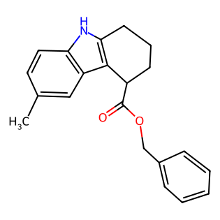 Cc1ccc2[nH]c3c(c2c1)C(C(=O)OCc1ccccc1)CCC3